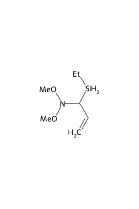 C=CC([SiH2]CC)N(OC)OC